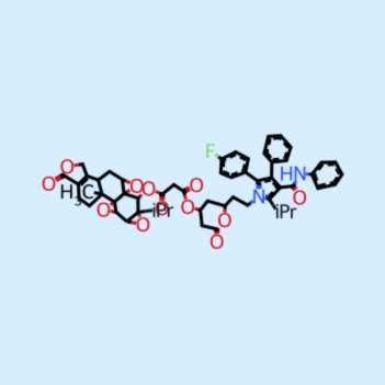 CC(C)c1c(C(=O)Nc2ccccc2)c(-c2ccccc2)c(-c2ccc(F)cc2)n1CCC1CC(OC(=O)CC(=O)OC2C3(C(C)C)OC3C3OC34C3(C)CCC5=C(COC5=O)C3CC3OC324)CC(=O)O1